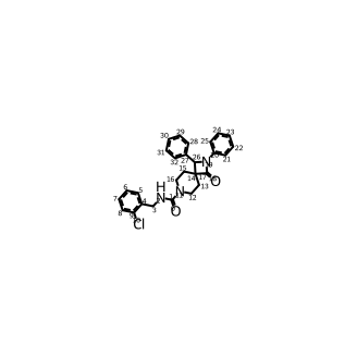 O=C(NCc1ccccc1Cl)N1CCC2(CC1)C(=O)N(c1ccccc1)C2c1ccccc1